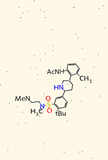 CNCCN(C)S(=O)(=O)c1cc(C2CCC(c3c(C)cccc3NC(C)=O)CN2)ccc1C(C)(C)C